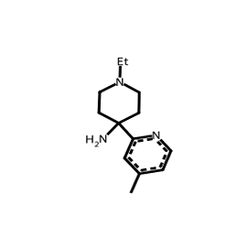 CCN1CCC(N)(c2cc(C)ccn2)CC1